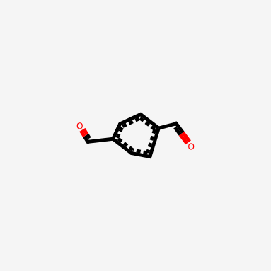 O=[C]c1ccc(C=O)cc1